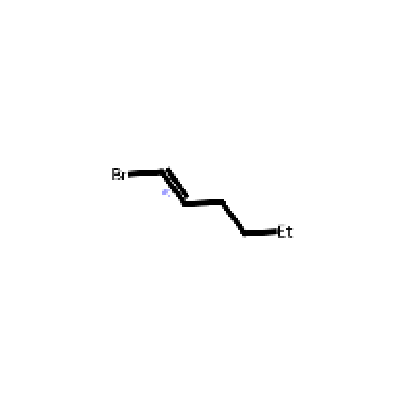 CCCC/C=C/Br